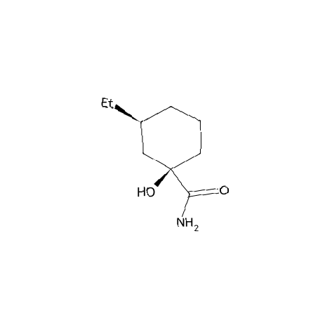 CC[C@H]1CCC[C@](O)(C(N)=O)C1